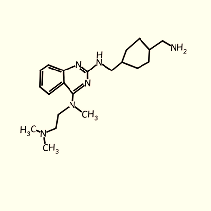 CN(C)CCN(C)c1nc(NCC2CCC(CN)CC2)nc2ccccc12